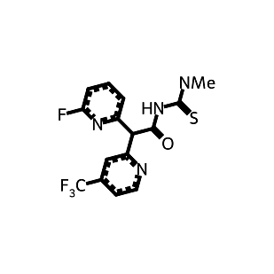 CNC(=S)NC(=O)C(c1cc(C(F)(F)F)ccn1)c1cccc(F)n1